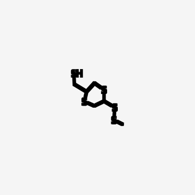 CSSC1CSC(CS)CS1